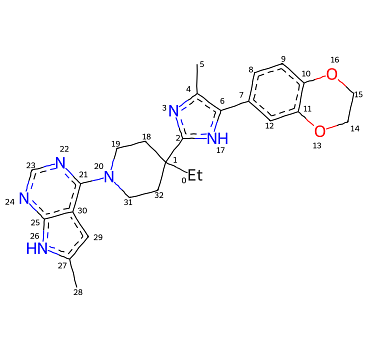 CCC1(c2nc(C)c(-c3ccc4c(c3)OCCO4)[nH]2)CCN(c2ncnc3[nH]c(C)cc23)CC1